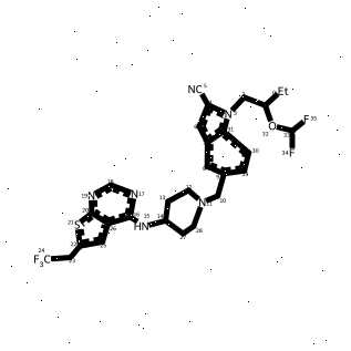 CCC(Cn1c(C#N)cc2cc(CN3CCC(Nc4ncnc5sc(CC(F)(F)F)cc45)CC3)ccc21)OC(F)F